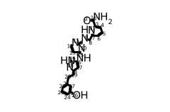 NC(=O)c1cccc(CNc2nccc(Nc3cc(CCc4cccc(O)c4)n[nH]3)n2)n1